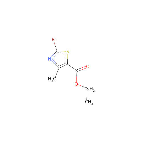 C[SiH2]OC(=O)c1sc(Br)nc1C